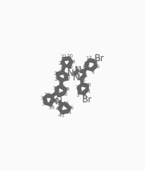 Brc1ccc(-c2cc(-c3ccc(Br)cc3)nc(-n3c4ccccc4c4ccc(-c5ccc6c(c5)c5ccccc5n6-c5ccccc5)cc43)n2)cc1